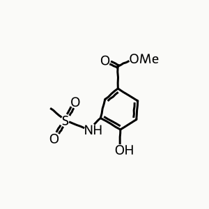 COC(=O)c1ccc(O)c(NS(C)(=O)=O)c1